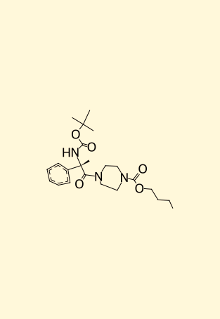 CCCCOC(=O)N1CCN(C(=O)[C@@](C)(NC(=O)OC(C)(C)C)c2ccccc2)CC1